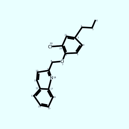 CCCc1ccc(OCc2ccc3ccccc3n2)c(Cl)c1